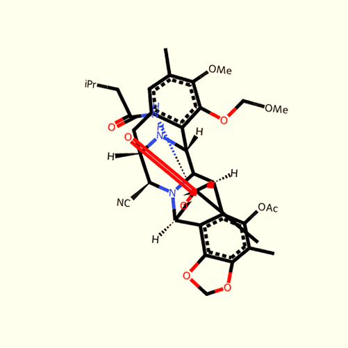 COCOc1c(OC)c(C)cc2c1[C@H]1N[C@@H](C2)[C@H](C#N)N2C1[C@@H]1SC[C@H](NC(=O)CC(C)C)C(=O)OC[C@H]2c2c3c(c(C)c(OC(C)=O)c21)OCO3